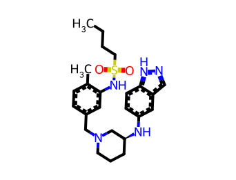 CCCCS(=O)(=O)Nc1cc(CN2CCC[C@H](Nc3ccc4[nH]ncc4c3)C2)ccc1C